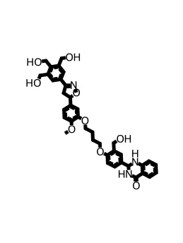 COc1ccc(C2CC(c3cc(CO)c(CO)c(CO)c3)=NO2)cc1OCCCCOc1ccc(C2NC(=O)c3ccccc3N2)cc1CO